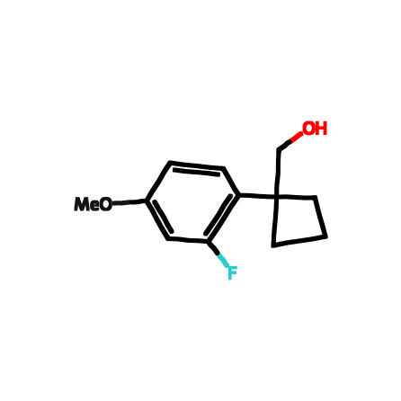 COc1ccc(C2(CO)CCC2)c(F)c1